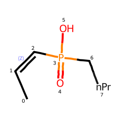 C/C=C\P(=O)(O)CCCC